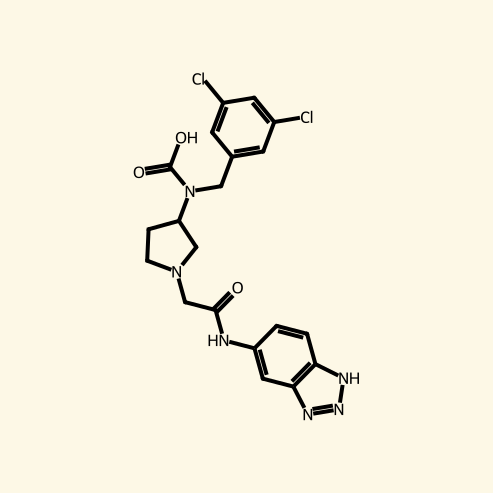 O=C(CN1CCC(N(Cc2cc(Cl)cc(Cl)c2)C(=O)O)C1)Nc1ccc2[nH]nnc2c1